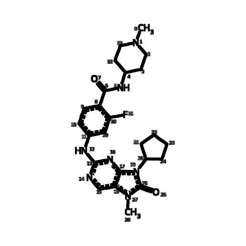 CN1CCC(NC(=O)c2ccc(Nc3ncc4c(n3)n(C3CCCC3)c(=O)n4C)cc2F)CC1